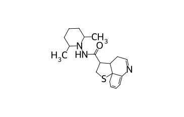 CC1CCCC(C)N1NC(=O)C1CSC23CC=CC=C2N=CCC13